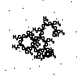 CC(O)COC(C)COC(C)COC(C)COC(C)COC(C)COC(C)COC(C)COC(C)COC(C)COC(C)COC(C)COC(C)COC(C)CO.Cc1ccc(S(=O)(=O)O)cc1